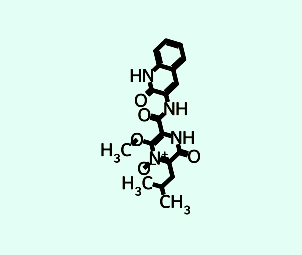 COc1c(C(=O)Nc2cc3ccccc3[nH]c2=O)[nH]c(=O)c(CC(C)C)[n+]1[O-]